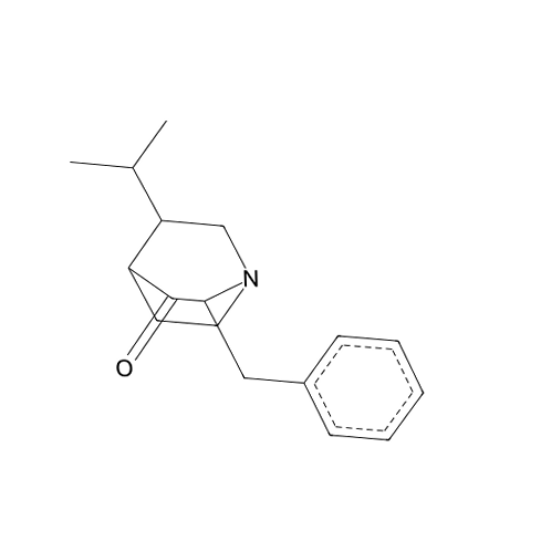 CC(C)C1CN2CCC1C(=O)C2Cc1ccccc1